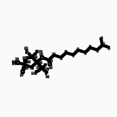 CC(C)CCCCCCCCC(=O)OC(CS(=O)(=O)O)(C(F)(F)F)C(F)(F)F